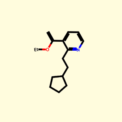 C=C(OCC)c1cccnc1CCC1CCCC1